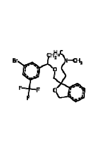 CC(OCC1(CCN(C)C)OCc2ccccc21)c1cc(Br)cc(C(F)(F)F)c1